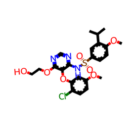 COc1ccc(Cl)c(Oc2c(NS(=O)(=O)c3ccc(OC)c(C(C)C)c3)ncnc2OCCO)c1